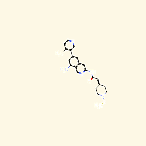 CSN1CCC(=CC(=O)Nc2cc3cc(-c4cnccc4C)cc(N)c3cn2)CC1